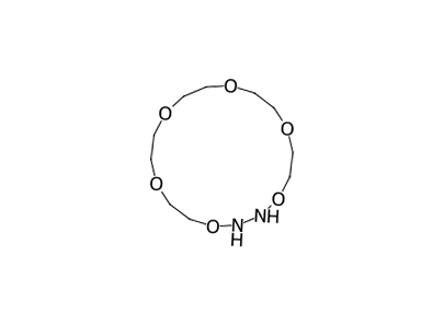 C1COCCOCCONNOCCOCCO1